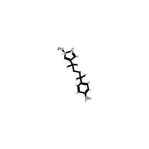 CC(C)n1cc(C(C)(C)CCC(C)(C)c2ccc(C(C)(C)C)cc2)cn1